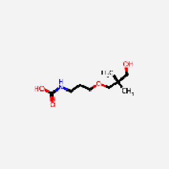 CC(C)(CO)COCCCNC(=O)O